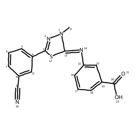 Cn1nc(-c2cccc(C#N)c2)sc1=Nc1cccc(C(=O)O)c1